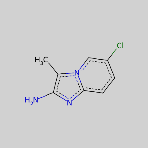 Cc1c(N)nc2ccc(Cl)cn12